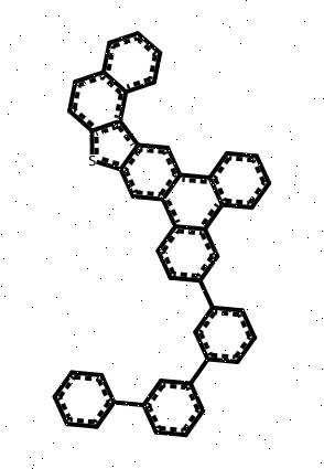 c1ccc(-c2cccc(-c3cccc(-c4ccc5c(c4)c4ccccc4c4cc6c(cc54)sc4ccc5ccccc5c46)c3)c2)cc1